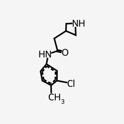 Cc1ccc(NC(=O)CC2CNC2)cc1Cl